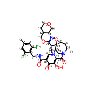 Cc1cc(F)c(CNC(=O)c2cn3c(c(O)c2=O)C(=O)N2C[C@@H]3[C@]3(CC[C@@H]2C)CC(OCC2CCOCC2)=NO3)c(F)c1